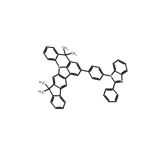 CC1(C)c2ccccc2-c2cc3c4cc(-c5ccc(-n6c(-c7ccccc7)nc7ccccc76)cc5)cc5c4n(c3cc21)-c1ccccc1C5(C)C